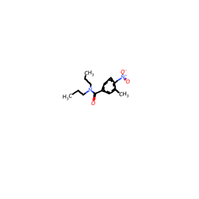 CCCN(CCC)C(=O)c1ccc([N+](=O)[O-])c(C)c1